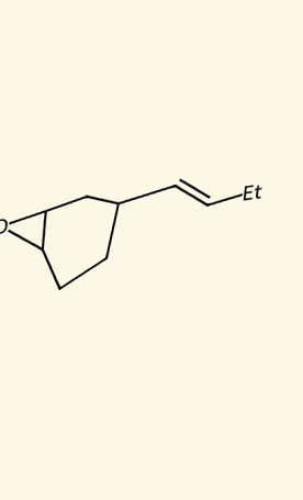 CCC=CC1CCC2OC2C1